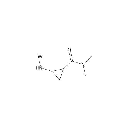 CC(C)NC1CC1C(=O)N(C)C